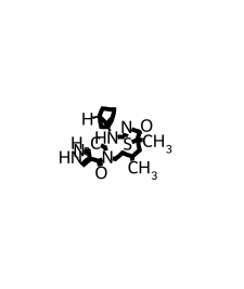 CCN(CCC(C)CC1(C)SC(N[C@H]2C[C@@H]3CCC2C3)=NC1=O)C(=O)c1cn[nH]c1